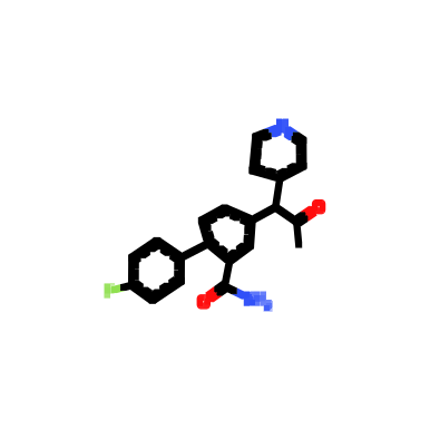 CC(=O)C(c1ccncc1)c1ccc(-c2ccc(F)cc2)c(C(N)=O)c1